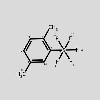 Cc1ccc(C)c(S(F)(F)(F)(F)F)c1